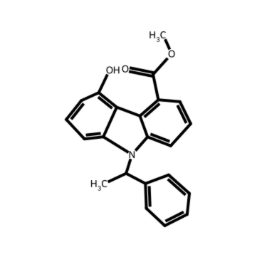 COC(=O)c1cccc2c1c1c(O)cccc1n2C(C)c1ccccc1